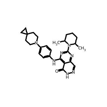 CC1CCCC(C)N1c1nc(Nc2ccc(N3CCC4(CC3)CC4)cc2)c2c(=O)[nH]ncc2n1